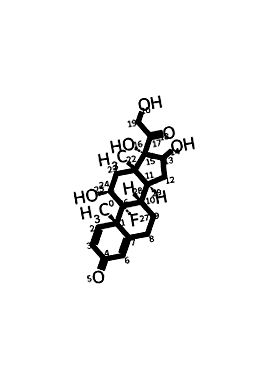 C[C@]12C=CC(=O)C=C1CC[C@H]1[C@@H]3CC(O)[C@](O)(C(=O)CO)[C@@]3(C)C[C@H](O)[C@@]12F